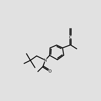 C=C=C(C)c1ccc(N(CC(C)(C)C)C(C)=O)cc1